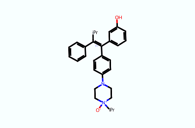 CC(C)/C(=C(/c1ccc(N2CC[N+]([O-])(C(C)C)CC2)cc1)c1cccc(O)c1)c1ccccc1